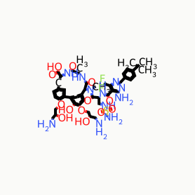 CC1NC(=O)C(N(C)C(=O)C(CNS(N)(=O)=O)NC(=O)c2c(N)nc(-c3ccc(C(C)(C)C)cc3)nc2C(F)F)c2cc(OCC(O)CN)c(O)c(c2)-c2cc(ccc2OCC(O)CN)CC(C(=O)O)NC1=O